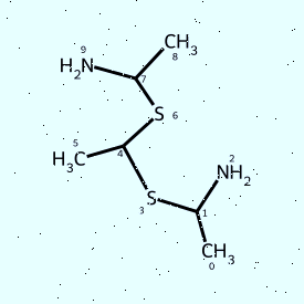 CC(N)SC(C)SC(C)N